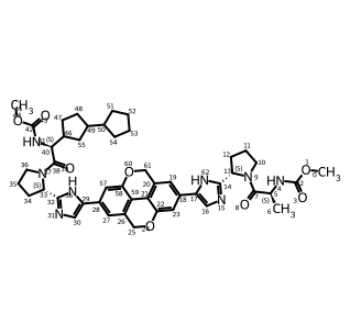 COC(=O)N[C@@H](C)C(=O)N1CCC[C@H]1c1ncc(-c2cc3c4c(c2)OCc2cc(-c5cnc([C@@H]6CCCN6C(=O)[C@@H](NC(=O)OC)C6CCC(C7CCCC7)C6)[nH]5)cc(c2-4)OC3)[nH]1